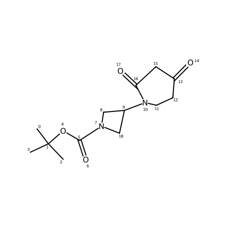 CC(C)(C)OC(=O)N1CC(N2CCC(=O)CC2=O)C1